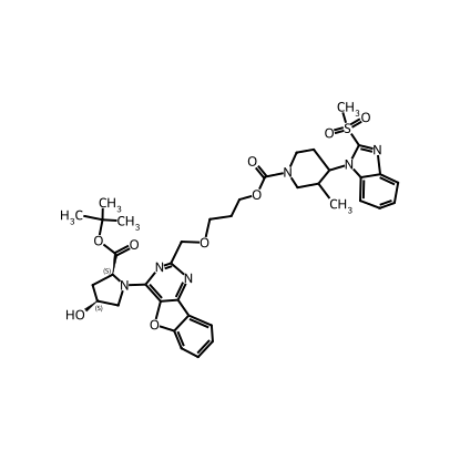 CC1CN(C(=O)OCCCOCc2nc(N3C[C@@H](O)C[C@H]3C(=O)OC(C)(C)C)c3oc4ccccc4c3n2)CCC1n1c(S(C)(=O)=O)nc2ccccc21